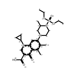 CCOP(=O)(OCC)N1CCN(c2cc3c(c(C)c2F)c(=O)c(C(=O)O)cn3C2CC2)CC1C